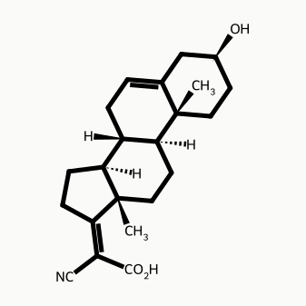 C[C@]12CC[C@H](O)CC1=CC[C@@H]1[C@@H]2CC[C@]2(C)C(=C(C#N)C(=O)O)CC[C@@H]12